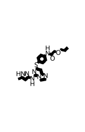 C=CCOCC(=O)Nc1ccc(Sc2cc3nccn3c(Nc3cc(C)[nH]n3)n2)cc1